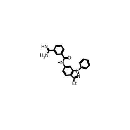 CCc1nn(-c2ccccc2)c2cc(NC(=O)c3cccc(C(=N)N)c3)ccc12